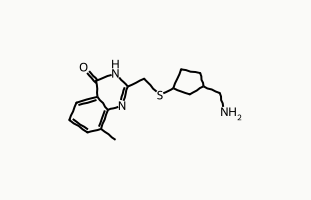 Cc1cccc2c(=O)[nH]c(CSC3CCC(CN)C3)nc12